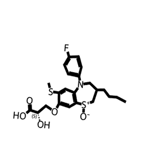 CCCCC1CN(c2ccc(F)cc2)c2cc(SC)c(OC[C@H](O)C(=O)O)cc2[S+]([O-])C1